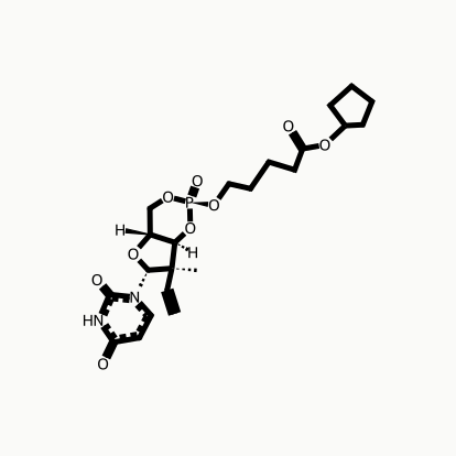 C#C[C@]1(C)[C@@H]2O[P@](=O)(OCCCCC(=O)OC3CCCC3)OC[C@H]2O[C@H]1n1ccc(=O)[nH]c1=O